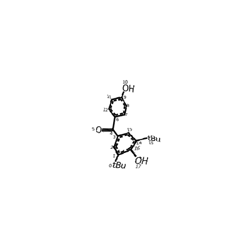 CC(C)(C)c1cc(C(=O)c2ccc(O)cc2)cc(C(C)(C)C)c1O